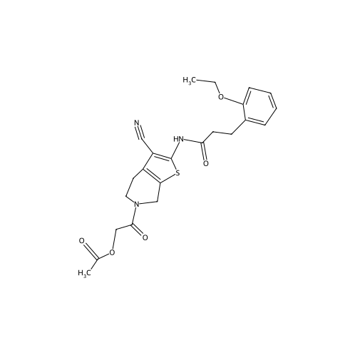 CCOc1ccccc1CCC(=O)Nc1sc2c(c1C#N)CCN(C(=O)COC(C)=O)C2